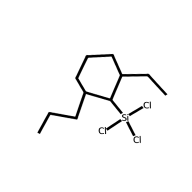 CCCC1CCCC(CC)C1[Si](Cl)(Cl)Cl